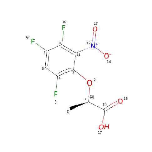 C[C@@H](Oc1c(F)cc(F)c(F)c1[N+](=O)[O-])C(=O)O